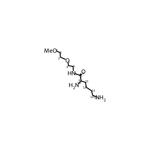 COCCOCCNC(=O)C(N)CCCCN